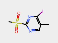 Cc1cnc(S(C)(=O)=O)nc1I